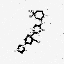 CC[C@@]1(C)CC[C@H](F)[C@@H](Oc2cnc(-c3ccc(-n4ccnc4)cc3O)nn2)C1